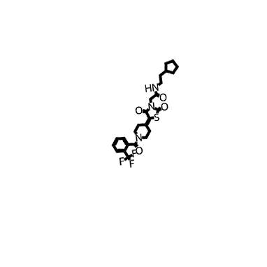 O=C(CN1C(=O)SC(=C2CCN(C(=O)c3ccccc3C(F)(F)F)CC2)C1=O)NCCC1CCCC1